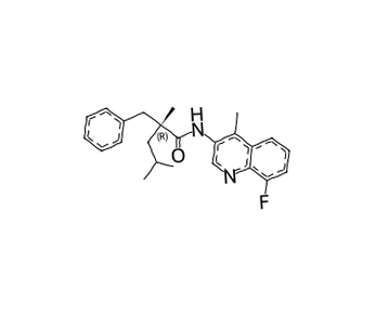 Cc1c(NC(=O)[C@@](C)(Cc2ccccc2)CC(C)C)cnc2c(F)cccc12